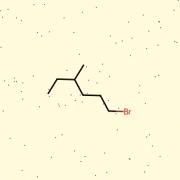 CCC(C)[CH]CCBr